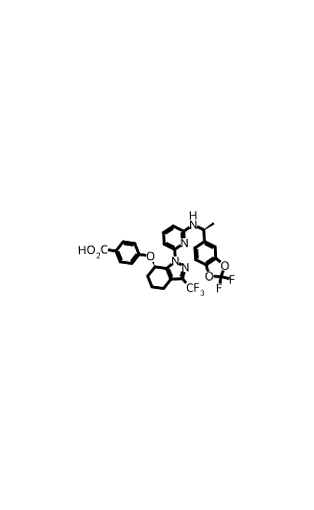 C[C@H](Nc1cccc(-n2nc(C(F)(F)F)c3c2[C@@H](Oc2ccc(C(=O)O)cc2)CCC3)n1)c1ccc2c(c1)OC(F)(F)O2